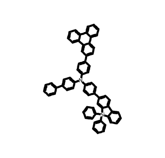 c1ccc(-c2ccc(N(c3ccc(-c4ccc5c(c4)[Si](c4ccccc4)(c4ccccc4)c4ccccc4-5)cc3)c3ccc(-c4ccc5c6ccccc6c6ccccc6c5c4)cc3)cc2)cc1